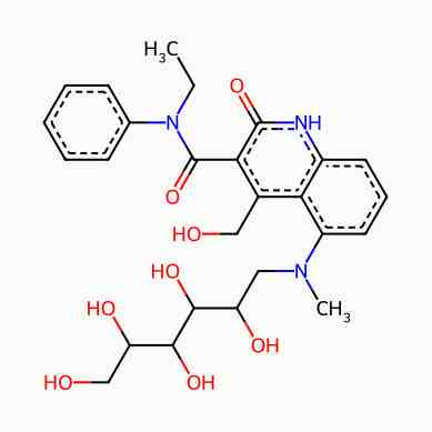 CCN(C(=O)c1c(CO)c2c(N(C)CC(O)C(O)C(O)C(O)CO)cccc2[nH]c1=O)c1ccccc1